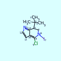 CC(C)(C)C1CN(I)C(Cl)=C2C=CN=C21